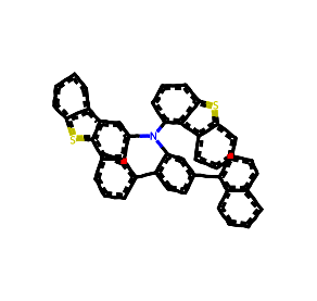 c1ccc(-c2ccc(-c3cccc4ccccc34)cc2N(c2ccc3sc4ccccc4c3c2)c2cccc3sc4ccccc4c23)cc1